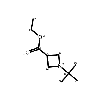 CCOC(=O)C1CN(C(C)(C)C)C1